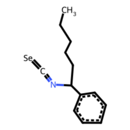 CCCCCC(N=C=[Se])c1ccccc1